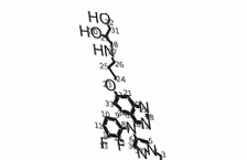 NC(=O)Cn1cc(N(c2cccc(F)c2F)c2ncnc3cc(OCCCNCC(O)CO)ccc23)cn1